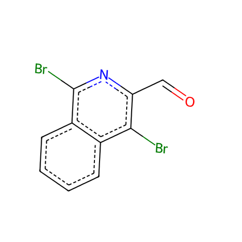 O=Cc1nc(Br)c2ccccc2c1Br